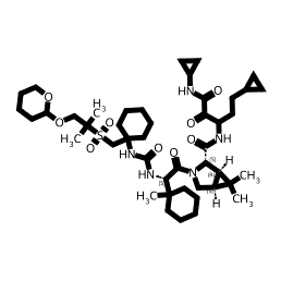 CC1([C@H](NC(=O)NC2(CS(=O)(=O)C(C)(C)COC3CCCCO3)CCCCC2)C(=O)N2C[C@H]3[C@@H]([C@H]2C(=O)NC(CCC2CC2)C(=O)C(=O)NC2CC2)C3(C)C)CCCCC1